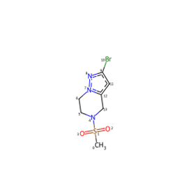 CS(=O)(=O)N1CCn2nc(Br)cc2C1